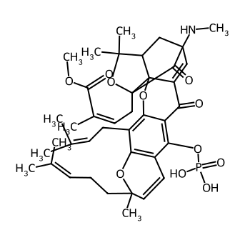 CNC12C=C3C(=O)c4c(OP(=O)(O)O)c5c(c(CC=C(C)C)c4OC34C(C1)C(C)(C)OC4(C/C=C(/C)C(=O)OC)C2=O)OC(C)(CCC=C(C)C)C=C5